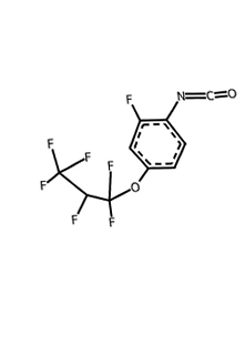 O=C=Nc1ccc(OC(F)(F)C(F)C(F)(F)F)cc1F